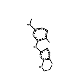 CNc1ncc(F)c(Nc2ccc3c(n2)NCCO3)n1